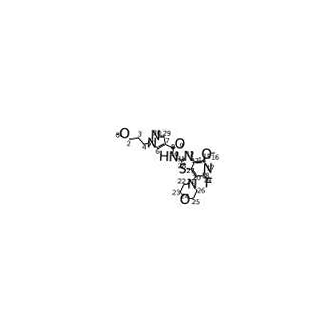 COCCCn1cc(C(=O)Nc2nc3c(OC)nc(F)c(N4CCOCC4)c3s2)cn1